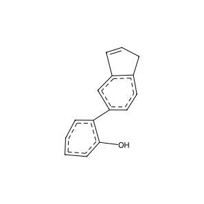 Oc1ccccc1-c1ccc2c(c1)C=CC2